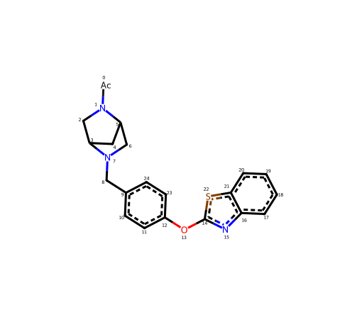 CC(=O)N1CC2CC1CN2Cc1ccc(Oc2nc3ccccc3s2)cc1